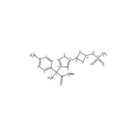 COC(=O)C(N)(c1ccc([N+](=O)[O-])cc1)c1csc(N2CC(OS(C)(=O)=O)C2)n1